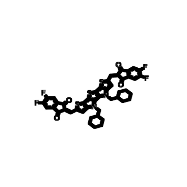 O=C1C(=Cc2cc3c(s2)c2sc4c5sc(C=C6C(=O)c7cc(F)c(F)cc7C6=O)cc5n(CC5CCCCC5)c4c2n3CC2CCCCC2)C(=O)c2cc(F)c(F)cc21